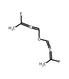 CC(F)=C=COC=C=C(C)F